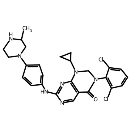 CC1CN(c2ccc(Nc3ncc4c(n3)N(C3CC3)CN(c3c(Cl)cccc3Cl)C4=O)cc2)CCN1